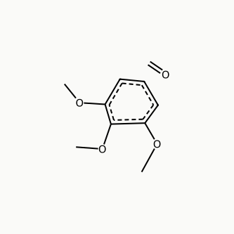 C=O.COc1cccc(OC)c1OC